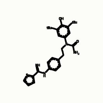 CC(C)(C)c1cc(N(CCc2ccc(NC(=N)c3cccs3)cc2)C(N)=O)cc(C(C)(C)C)c1O